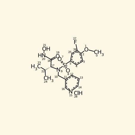 COc1ccc(S(=O)(=O)N(Cc2cccnc2)[C@@H](C(=O)NO)C(C)C)cc1F.Cl